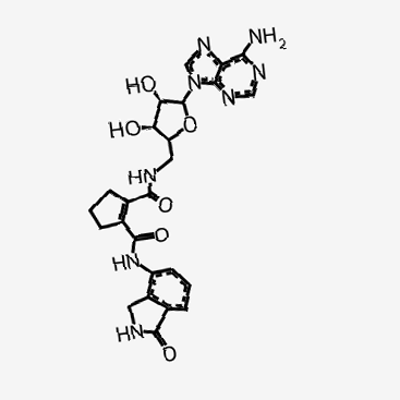 Nc1ncnc2c1ncn2C1OC(CNC(=O)C2=C(C(=O)Nc3cccc4c3CNC4=O)CCC2)[C@@H](O)[C@H]1O